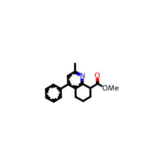 COC(=O)C1CCCc2c(-c3ccccc3)cc(C)nc21